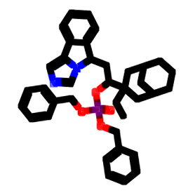 CCC1(C(CC2c3ccccc3-c3cncn32)OP(=O)(OCc2ccccc2)OCc2ccccc2)CC2CCCC(C2)C1